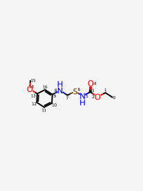 CCOC(=O)NSCNc1cccc(OC)c1